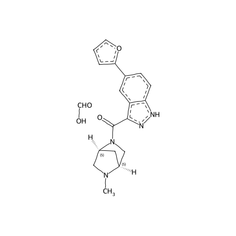 CN1C[C@@H]2C[C@H]1CN2C(=O)c1n[nH]c2ccc(-c3ccco3)cc12.O=CO